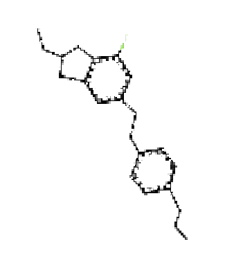 CCCc1ccc(CCc2cc(F)c3c(c2)CC(CC)C3)cc1